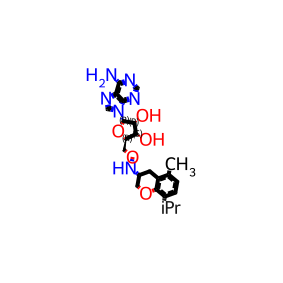 Cc1ccc(C(C)C)c2c1CC(NOC[C@H]1O[C@@H](n3cnc4c(N)ncnc43)[C@H](O)[C@@H]1O)CO2